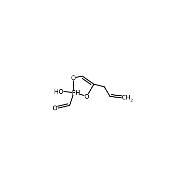 C=CCC1=CO[PH](O)(C=O)O1